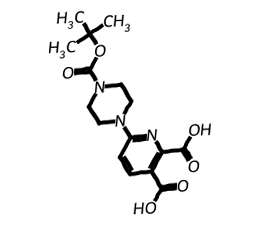 CC(C)(C)OC(=O)N1CCN(c2ccc(C(=O)O)c(C(=O)O)n2)CC1